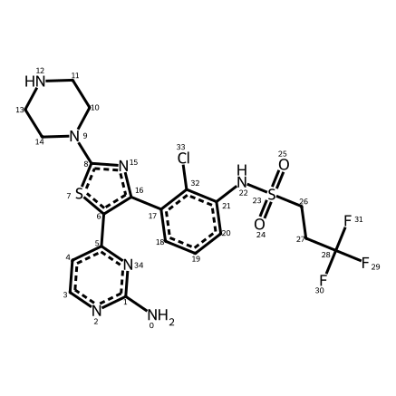 Nc1nccc(-c2sc(N3CCNCC3)nc2-c2cccc(NS(=O)(=O)CCC(F)(F)F)c2Cl)n1